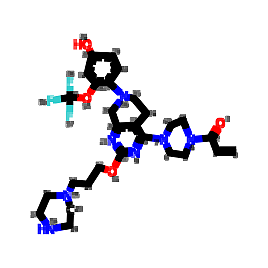 C=CC(=O)N1CCN(c2nc(OCCCN3CCNCC3)nc3c2CCN(c2ccc(O)cc2OC(F)(F)F)C3)CC1